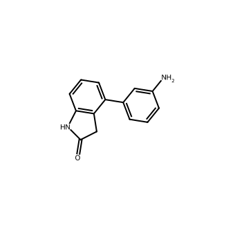 Nc1cccc(-c2cccc3c2CC(=O)N3)c1